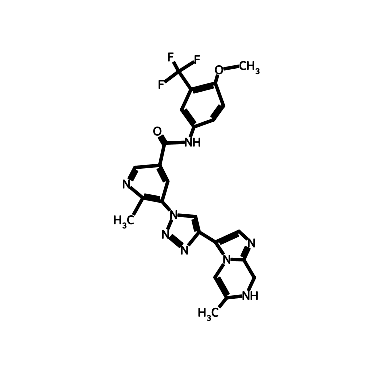 COc1ccc(NC(=O)c2cnc(C)c(-n3cc(-c4cnc5n4C=C(C)NC5)nn3)c2)cc1C(F)(F)F